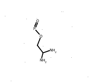 NC(N)COP=O